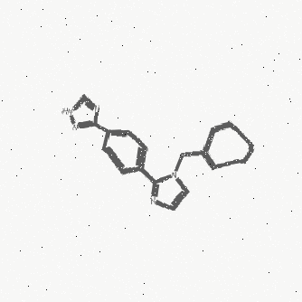 c1cn(CC2CCCCC2)c(-c2ccc(-c3nc[nH]n3)cc2)n1